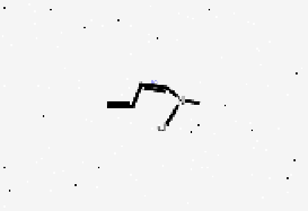 C=C/C=C\N(C)Cl